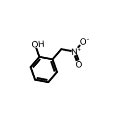 O=[N+]([O-])Cc1ccccc1O